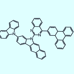 C1=CC2c3ccccc3-c3ccccc3C2C=C1c1nc(-n2c3cc(-n4c5ccccc5c5ccccc54)ccc3c3cc4ccccc4cc32)nc2ccccc12